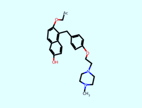 CC(=O)COc1ccc2cc(O)ccc2c1Cc1ccc(OCCN2CCN(C)CC2)cc1